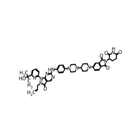 C=CCn1c(=O)c2cnc(Nc3ccc(N4CCN(C5CCN(c6ccc7c(c6)C(=O)N(C6CCC(=O)NC6=O)C7=O)CC5)CC4)cc3)nc2n1-c1cccc(C(C)(C)O)n1